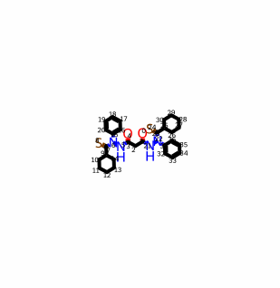 O=C(CC(=O)NN(C(=S)C1CCCCC1)c1ccccc1)NN(C(=S)C1CCCCC1)c1ccccc1